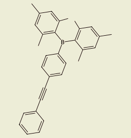 Cc1cc(C)c(B(c2ccc(C#Cc3ccccc3)cc2)c2c(C)cc(C)cc2C)c(C)c1